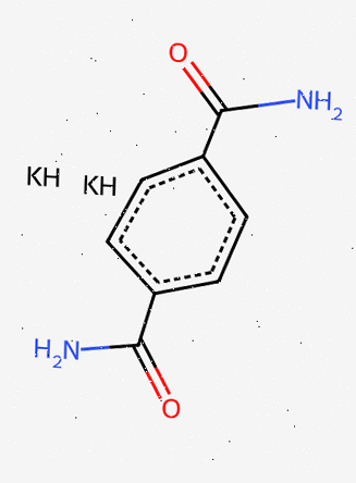 NC(=O)c1ccc(C(N)=O)cc1.[KH].[KH]